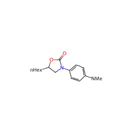 CCCCCCC1CN(c2ccc(NC)cc2)C(=O)O1